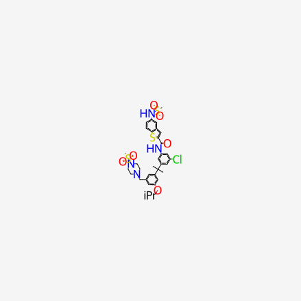 CC(C)Oc1cc(CN2CCN(S(C)(=O)=O)CC2)cc(C(C)(C)c2cc(Cl)cc(NC(=O)c3cc4cc(NS(C)(=O)=O)ccc4s3)c2)c1